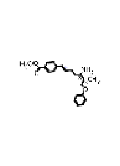 COC(=O)c1ccc(/C=C/CC[C@@H](N)[C@H](C)COc2ccccc2)cc1